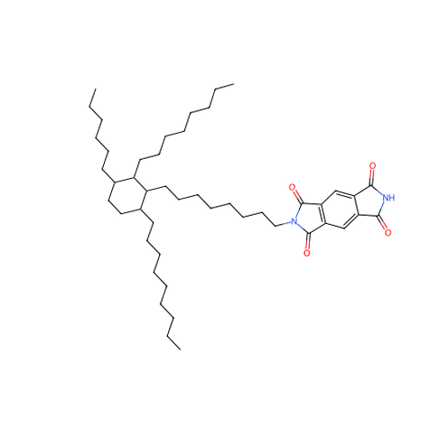 CCCCCCCCCC1CCC(CCCCCC)C(CCCCCCCC)C1CCCCCCCCn1c(=O)c2cc3c(=O)[nH]c(=O)c3cc2c1=O